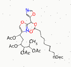 CCCCCCCCCCCCCCCCCC(=O)OC(c1cnco1)c1nc(C(CC(OC(C)=O)C(OC(C)=O)C(C)OC(C)=O)OC(C)=O)co1